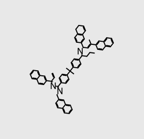 C=C/C(=N\C(=N/Cc1ccc2ccccc2c1)c1ccc(C(C)(C)c2ccc(C(CCC)/N=C(\C=C(/C)c3ccc4ccccc4c3)c3ccc4c(c3)C=CCC4)cc2)cc1)c1ccc2ccccc2c1